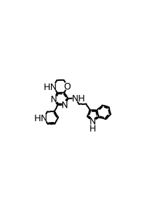 C1=CNCC(c2nc3c(c(NCCc4c[nH]c5ccccc45)n2)OCCN3)=C1